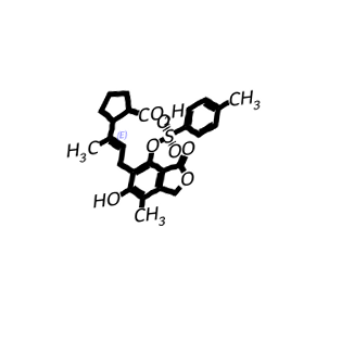 C/C(=C\Cc1c(O)c(C)c2c(c1OS(=O)(=O)c1ccc(C)cc1)C(=O)OC2)C1CCCC1C(=O)O